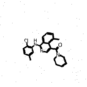 Cc1ccc(Cl)c(Nc2ncc(C(=O)N3CCCCC3)c3c(C)cccc23)c1